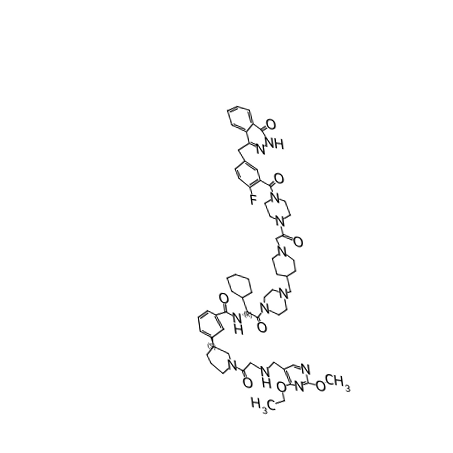 CCOc1nc(OC)ncc1CNCC(=O)N1CCC[C@@H](c2cccc(C(=O)N[C@@H](C(=O)N3CCN(CC4CCN(CC(=O)N5CCN(C(=O)c6cc(Cc7n[nH]c(=O)c8ccccc78)ccc6F)CC5)CC4)CC3)C3CCCCC3)c2)C1